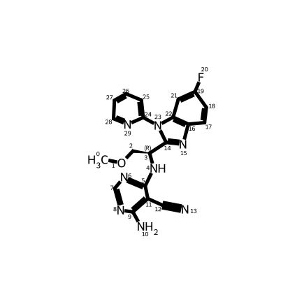 COC[C@H](Nc1ncnc(N)c1C#N)c1nc2ccc(F)cc2n1-c1ccccn1